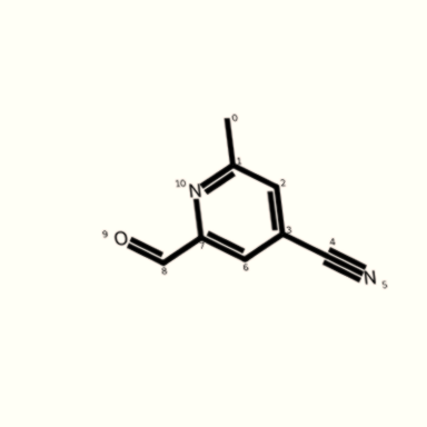 Cc1cc(C#N)cc(C=O)n1